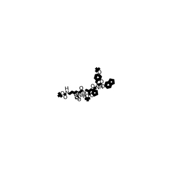 CC(C)(C)OC(=O)NCCCC[C@H](NS(C)(=O)=O)C(=O)NCC(CC1(C(=O)N[C@@H](Cc2ccc(OC(C)(C)C)cc2)C(=O)Oc2ccc3c(c2)CCC3)CCCC1)C(=O)OC(C)(C)C